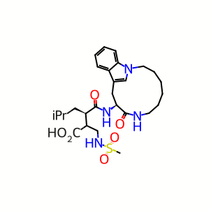 CC(C)C[C@@H](C(=O)N[C@H]1Cc2cn(c3ccccc23)CCCCCCNC1=O)C(CNS(C)(=O)=O)C(=O)O